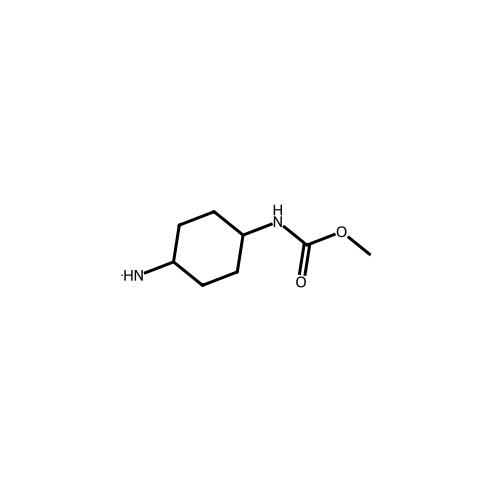 COC(=O)NC1CCC([NH])CC1